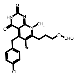 Cn1c2nc(=O)[nH]c(=O)c-2c(Cc2ccc(Cl)cc2)c(Br)c1CCCOC=O